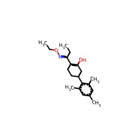 CCON=C(CC)C1=C(O)CC(c2c(C)cc(C)cc2C)CC1